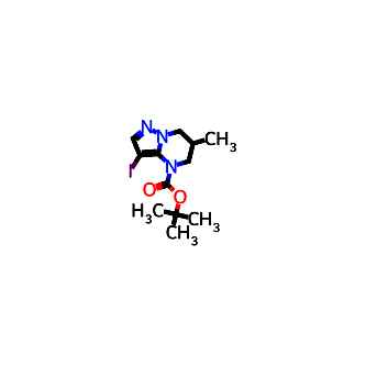 CC1CN(C(=O)OC(C)(C)C)c2c(I)cnn2C1